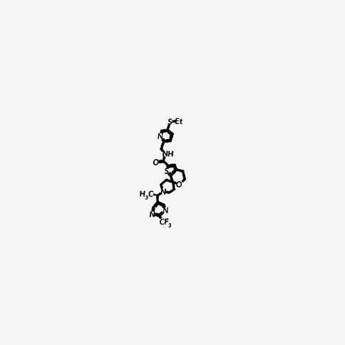 CCSc1ccc(CNC(=O)c2cc3c(s2)C2(CCN([C@H](C)c4cnc(C(F)(F)F)nc4)CC2)OCC3)nc1